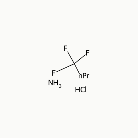 CCCC(F)(F)F.Cl.N